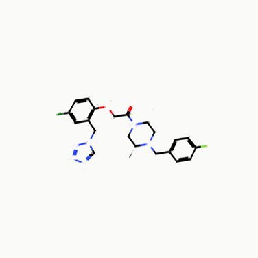 C[C@@H]1CN(Cc2ccc(F)cc2)[C@@H](C)CN1C(=O)COc1ccc(Cl)cc1Cn1cnnn1